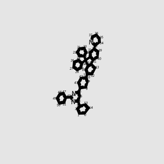 c1ccc(-c2cc(-c3ccc(-c4ccc5c(c4)C(c4ccccc4)(c4ccccc4)c4cc(-c6ccccn6)ccc4-5)cc3)nc(-c3ccccc3)n2)cc1